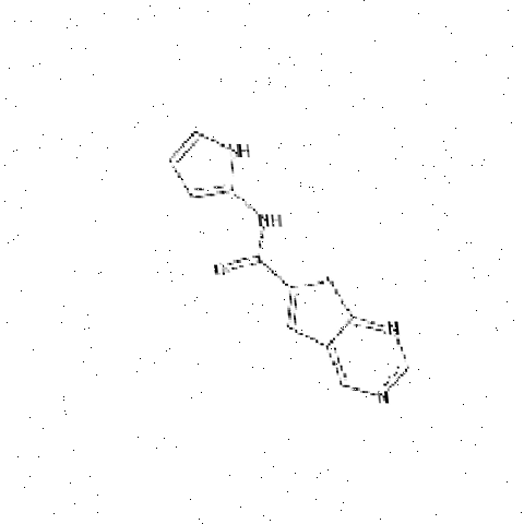 O=C(Nc1ccc[nH]1)c1cc2cncnc2s1